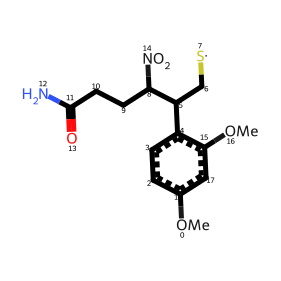 COc1ccc(C(C[S])C(CCC(N)=O)[N+](=O)[O-])c(OC)c1